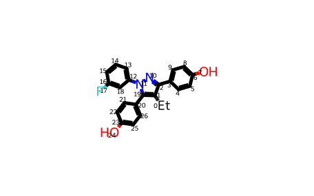 CCc1c(-c2ccc(O)cc2)nn(-c2cccc(F)c2)c1-c1ccc(O)cc1